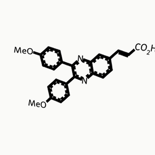 COc1ccc(-c2nc3ccc(/C=C/C(=O)O)cc3nc2-c2ccc(OC)cc2)cc1